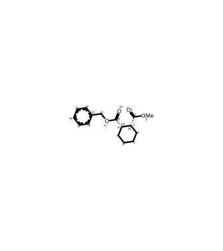 COC(=O)[C@@H]1CCCC[C@@H]1C(=O)OCc1ccccc1